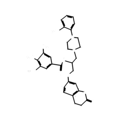 COc1ccccc1N1CCN(CC(COc2ccc3c(c2)NC(=O)CC3)OC(=O)c2cc(OC)c(OC)c(OC)c2)CC1